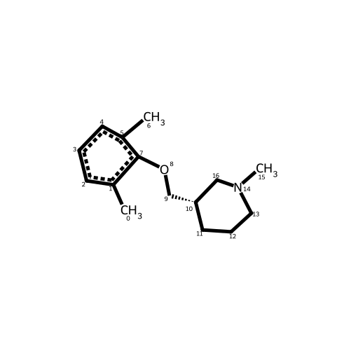 Cc1cccc(C)c1OC[C@H]1CCCN(C)C1